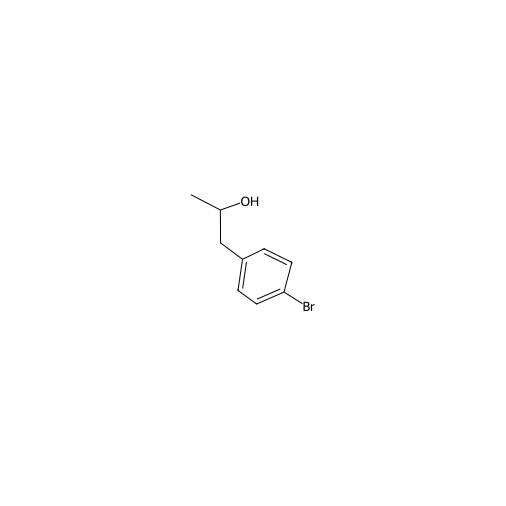 CC(O)Cc1ccc(Br)cc1